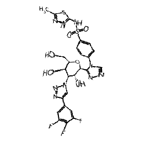 Cc1nnc(NS(=O)(=O)c2ccc(-n3cnnc3[C@@H]3O[C@H](CO)[C@H](O)[C@H](n4cc(-c5cc(F)c(F)c(F)c5)nn4)[C@H]3O)cc2)s1